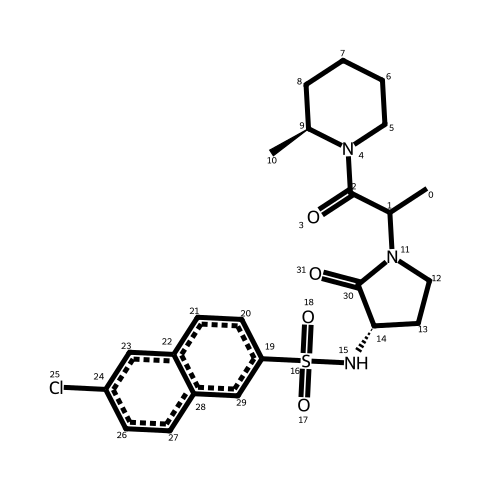 CC(C(=O)N1CCCC[C@@H]1C)N1CC[C@H](NS(=O)(=O)c2ccc3cc(Cl)ccc3c2)C1=O